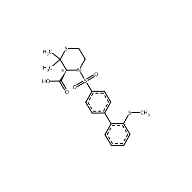 CSc1ccccc1-c1ccc(S(=O)(=O)N2CCSC(C)(C)[C@@H]2C(=O)O)cc1